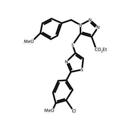 CCOC(=O)c1nnn(Cc2ccc(OC)cc2)c1Sc1csc(-c2ccc(OC)c(Cl)c2)n1